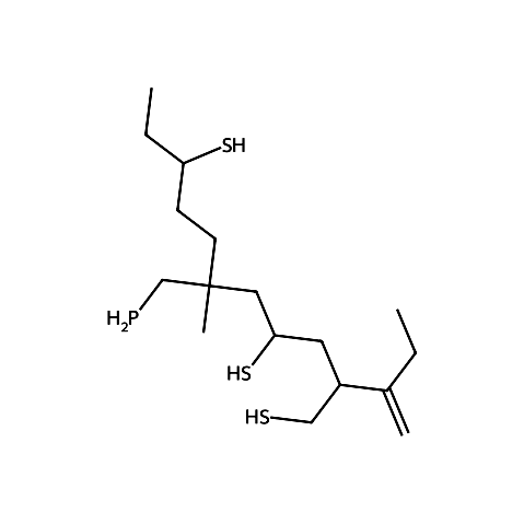 C=C(CC)C(CS)CC(S)CC(C)(CP)CCC(S)CC